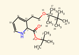 CC(C)(C)OC(=O)C1NC=CC=C1CCO[Si](C)(C)C(C)(C)C